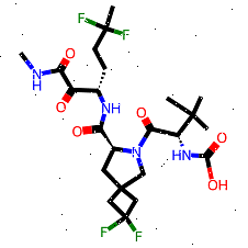 CNC(=O)C(=O)[C@H](CCC(C)(F)F)NC(=O)[C@@H]1CC2(CN1C(=O)[C@@H](NC(=O)O)C(C)(C)C)CC(F)(F)C2